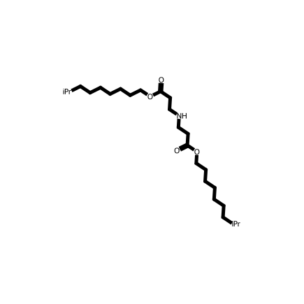 CC(C)CCCCCCCOC(=O)CCNCCC(=O)OCCCCCCCC(C)C